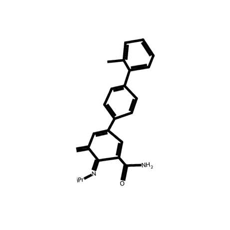 C=C1C=C(c2ccc(-c3ccccc3C)cc2)C=C(C(N)=O)/C1=N/C(C)C